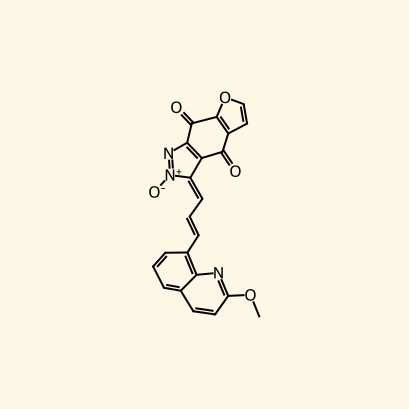 COc1ccc2cccc(/C=C/C=C3/C4=C(N=[N+]3[O-])C(=O)c3occc3C4=O)c2n1